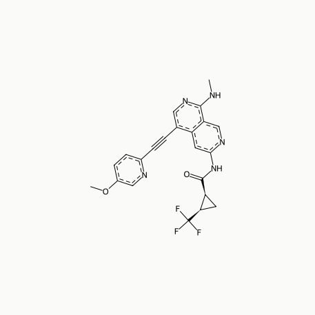 CNc1ncc(C#Cc2ccc(OC)cn2)c2cc(NC(=O)[C@H]3C[C@H]3C(F)(F)F)ncc12